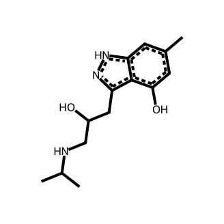 Cc1cc(O)c2c(CC(O)CNC(C)C)n[nH]c2c1